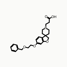 O=C(O)CCN1CCC2(CC1)COc1cc(OCCOCc3ccccc3)ccc12